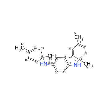 CC1=CCC(C)(Nc2ccc(NC3(C)C=CC(C)=CC3)cc2)C=C1